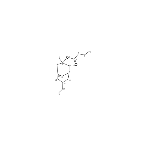 CCCC(=O)OC1(C)CC2CC(CC)CC(C2)C1